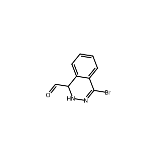 O=CC1NN=C(Br)c2ccccc21